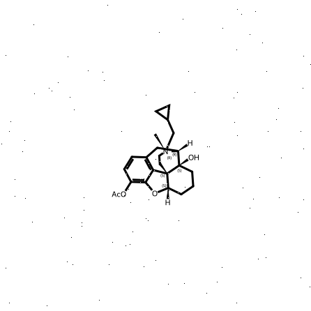 CC(=O)Oc1ccc2c3c1O[C@H]1CCC[C@@]4(O)[C@@H](C2)[N@@+](C)(CC2CC2)CC[C@]314